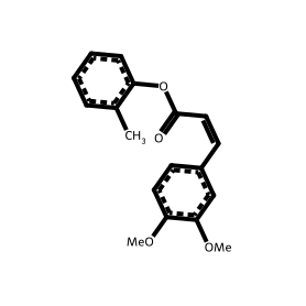 COc1ccc(/C=C\C(=O)Oc2ccccc2C)cc1OC